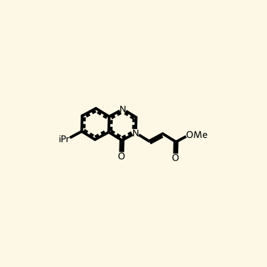 COC(=O)C=Cn1cnc2ccc(C(C)C)cc2c1=O